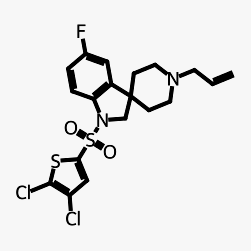 C=CCN1CCC2(CC1)CN(S(=O)(=O)c1cc(Cl)c(Cl)s1)c1ccc(F)cc12